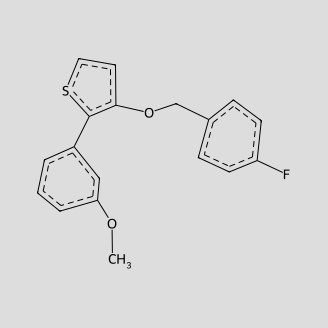 COc1cccc(-c2sccc2OCc2ccc(F)cc2)c1